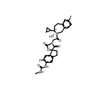 CNC(=O)Nc1cc2c(cc1F)C1(CC2)OC(=O)N(CC(=O)N2Cc3ccc(F)cc3CC[C@]2(O)C2CC2)C1=O